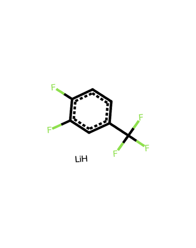 Fc1ccc(C(F)(F)F)cc1F.[LiH]